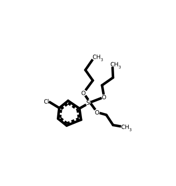 CCCO[Si](OCCC)(OCCC)c1cccc(Cl)c1